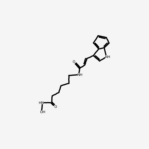 O=C(/C=C/c1c[nH]c2ccccc12)NCCCCCC(=O)NO